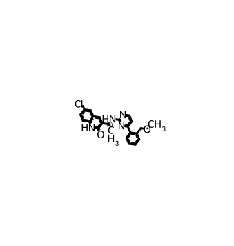 COCc1ccccc1-c1ccnc(N[C@@H](C)c2cc3cc(Cl)ccc3[nH]c2=O)n1